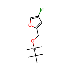 CC(C)(C)[Si](C)(C)OCc1cc(Br)co1